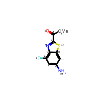 COC(=O)c1nc2c(F)cc(N)cc2s1